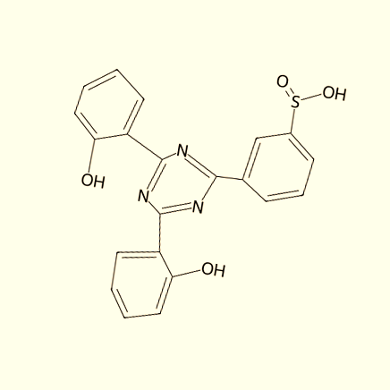 O=S(O)c1cccc(-c2nc(-c3ccccc3O)nc(-c3ccccc3O)n2)c1